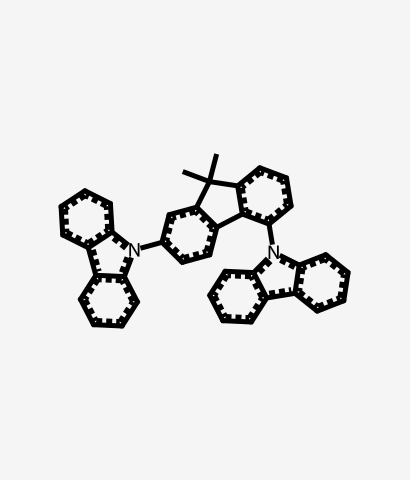 CC1(C)c2cc(-n3c4ccccc4c4ccccc43)ccc2-c2c(-n3c4ccccc4c4ccccc43)cccc21